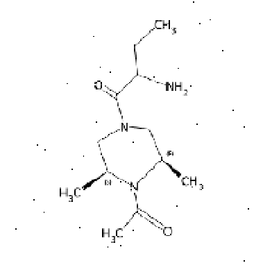 CCC(N)C(=O)N1C[C@@H](C)N(C(C)=O)[C@@H](C)C1